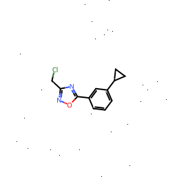 ClCc1noc(-c2cccc(C3CC3)c2)n1